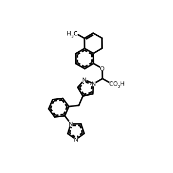 CC1=CCCc2c(OC(C(=O)O)n3cc(Cc4ccccc4-n4ccnc4)cn3)cccc21